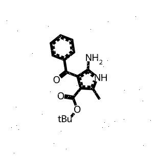 Cc1[nH]c(N)c(C(=O)c2ccccc2)c1C(=O)OC(C)(C)C